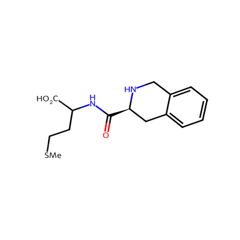 CSCCC(NC(=O)[C@@H]1Cc2ccccc2CN1)C(=O)O